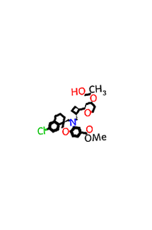 COC(=O)c1ccc2c(c1)N(C[C@@H]1CC[C@H]1[C@H]1C[C@@H](O[C@@H](C)CO)CCO1)C[C@@]1(CCCc3cc(Cl)ccc31)CO2